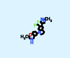 CC1CNCc2cc(N3CCCc4cc(-c5cnn(C)c5)c(C(F)F)cc43)ccc2O1